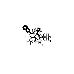 CC(C)CC1C(=O)NC(C2Cc3ccccc3C2)C(=O)N1C(C(=O)NC(C)(C)C)c1nccs1